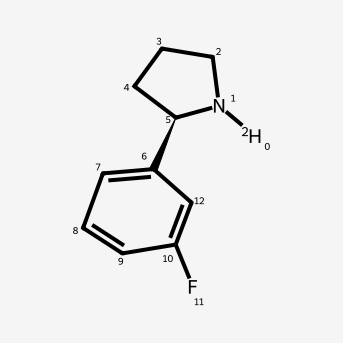 [2H]N1CCC[C@@H]1c1cccc(F)c1